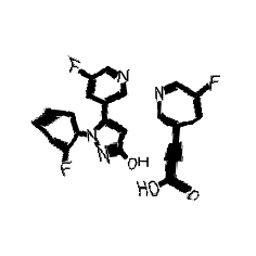 O=C(O)C#Cc1cncc(F)c1.Oc1cc(-c2cncc(F)c2)n(-c2ccccc2F)n1